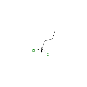 CCC[SiH](Cl)Cl